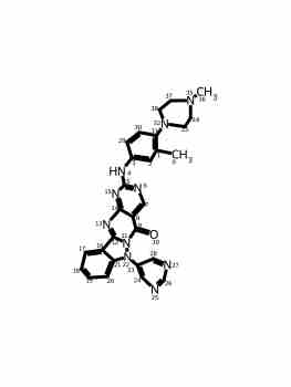 Cc1cc(Nc2ncc3c(=O)n4c(nc3n2)c2ccccc2n4-c2cncnc2)ccc1N1CCN(C)CC1